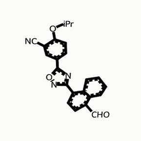 CC(C)Oc1ccc(-c2nc(-c3ccc(C=O)c4ccccc34)no2)cc1C#N